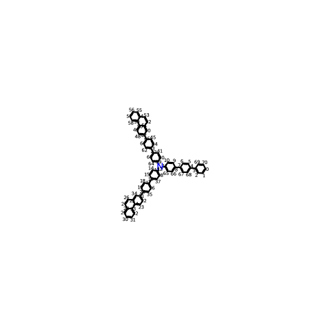 c1ccc(-c2ccc(-c3ccc(N(c4ccc(-c5ccc(-c6ccc7c(ccc8ccccc87)c6)cc5)cc4)c4ccc(-c5ccc(-c6ccc7c(ccc8ccccc87)c6)cc5)cc4)cc3)cc2)cc1